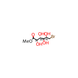 COC(=O)[C@@H](O)[C@H](O)[C@H](O)[C@@H](O)CBr